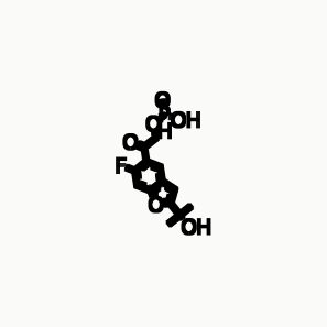 CC(C)(O)c1cc2cc(C(=O)CO[PH](=O)O)c(F)cc2o1